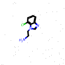 NCCn1[c]nc2cccc(Cl)c21